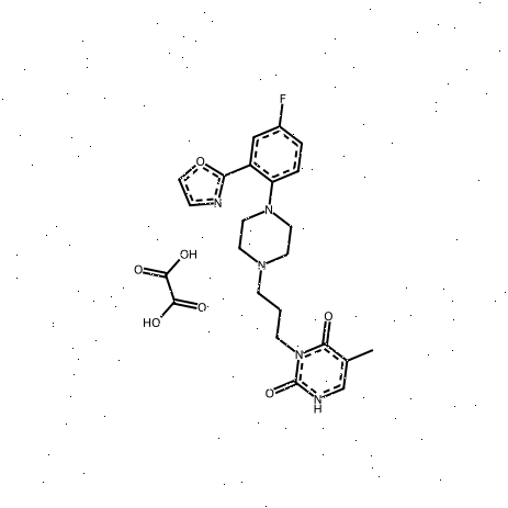 Cc1c[nH]c(=O)n(CCCN2CCN(c3ccc(F)cc3-c3ncco3)CC2)c1=O.O=C(O)C(=O)O